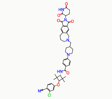 CC1(C)[C@H](NC(=O)c2ccc(N3CCC(CN4CCCc5cc6c(cc5C4)C(=O)N(C4CCC(=O)NC4=O)C6=O)CC3)cc2)C(C)(C)[C@H]1Oc1ccc(C#N)c(Cl)c1